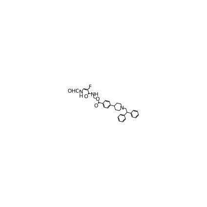 O=CN/C=C(/F)C(=O)NCOC(=O)c1ccc(C2CCN(CC(c3ccccc3)c3ccccc3)CC2)cc1